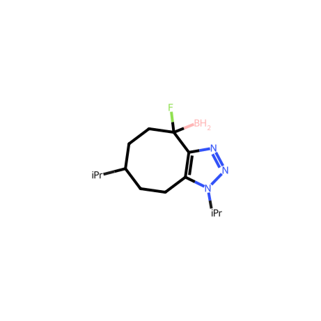 BC1(F)CCC(C(C)C)CCc2c1nnn2C(C)C